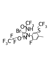 Cc1cc(F)c(-n2nc(OCC(F)(F)C(F)(F)F)c(Br)c2NC(=O)C(F)(F)F)cc1SCC(F)(F)F